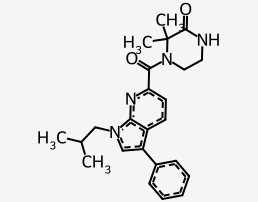 CC(C)Cn1cc(-c2ccccc2)c2ccc(C(=O)N3CCNC(=O)C3(C)C)nc21